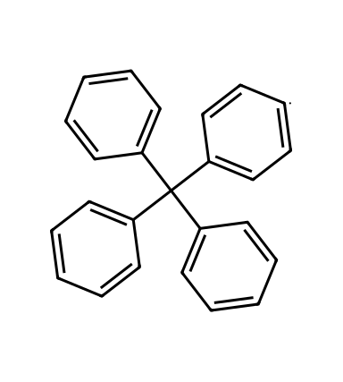 [c]1ccc(C(c2ccccc2)(c2ccccc2)c2ccccc2)cc1